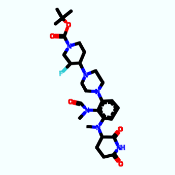 CN(C=O)c1c(N2CCN(C3CCN(C(=O)OC(C)(C)C)CC3F)CC2)cccc1N(C)C1CCC(=O)NC1=O